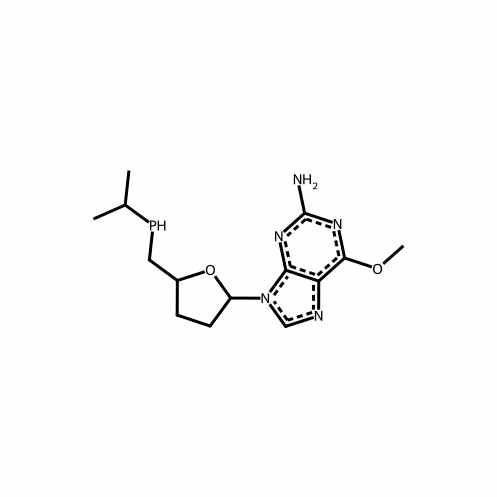 COc1nc(N)nc2c1ncn2C1CCC(CPC(C)C)O1